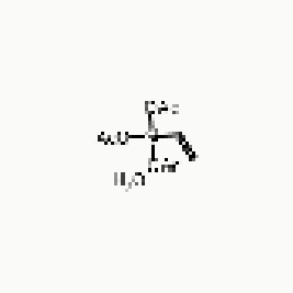 C=C[Si](OC(C)=O)(OC(C)=O)OC(C)=O.O